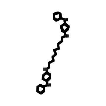 c1ccc(Nc2ccc(NCCCCCCCCCCNc3ccc(Nc4ccccc4)cc3)cc2)cc1